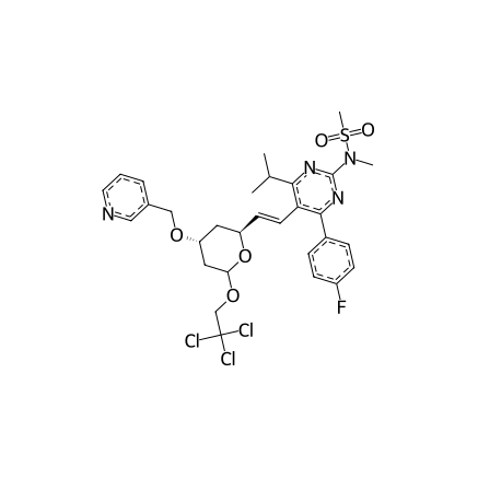 CC(C)c1nc(N(C)S(C)(=O)=O)nc(-c2ccc(F)cc2)c1/C=C/[C@@H]1C[C@@H](OCc2cccnc2)CC(OCC(Cl)(Cl)Cl)O1